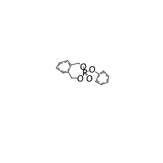 O=P1(Oc2ccccc2)OCc2ccccc2CO1